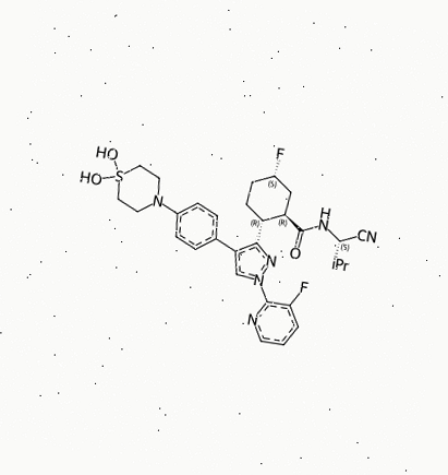 CC(C)[C@@H](C#N)NC(=O)[C@@H]1C[C@@H](F)CC[C@H]1c1nn(-c2ncccc2F)cc1-c1ccc(N2CCS(O)(O)CC2)cc1